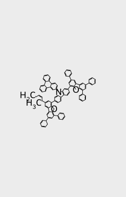 C=C/C=C\C(C)c1cc(-c2ccc3c4ccc(-c5cc(-c6ccccc6)cc6c5oc5c(-c7ccccc7)cc(-c7ccccc7)cc56)cc4n(-c4ccc5c6ccccc6c6ccccc6c5c4)c3c2)c2oc3c(-c4ccccc4)cc(C4C=CC=CC4)cc3c2c1